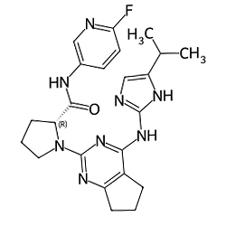 CC(C)c1cnc(Nc2nc(N3CCC[C@@H]3C(=O)Nc3ccc(F)nc3)nc3c2CCC3)[nH]1